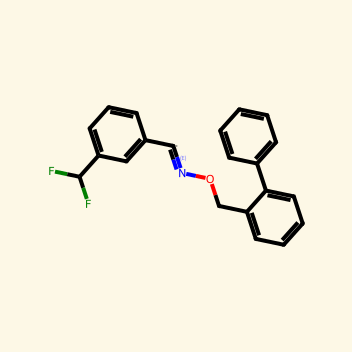 FC(F)c1cccc(/[C]=N/OCc2ccccc2-c2ccccc2)c1